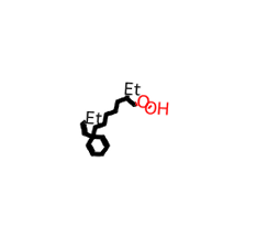 CC/C=C\C1(CCCCCC(CC)COO)C=CCC=C1